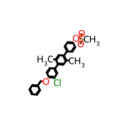 Cc1cc(-c2ccc(OCc3ccccc3)c(Cl)c2)c(C)cc1-c1ccc(OS(C)(=O)=O)cc1